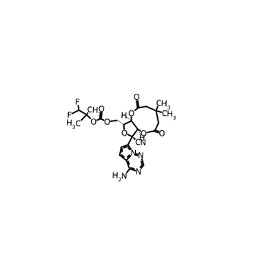 CC1(C)CC(=O)O[C@H]2[C@@H](OC(=O)C1)[C@](C#N)(c1ccc3c(N)ncnn13)O[C@@H]2COC(=O)OC(C)(C)C(F)F